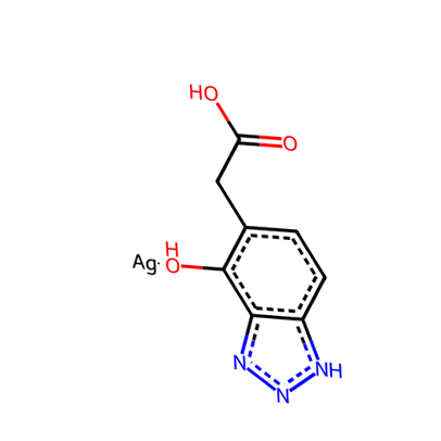 O=C(O)Cc1ccc2[nH]nnc2c1O.[Ag]